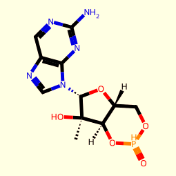 C[C@@]1(O)[C@@H]2O[PH](=O)OC[C@H]2O[C@H]1n1cnc2cnc(N)nc21